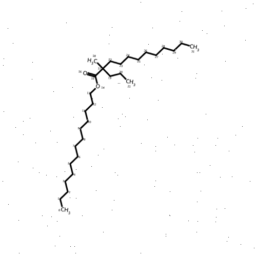 CCCCCCCCCCCCCCOC(=O)C(C)(CCC)CCCCCCCCCC